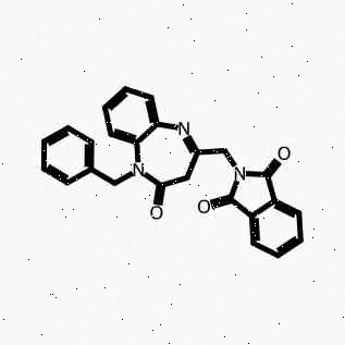 O=C1c2ccccc2C(=O)N1CC1=Nc2ccccc2N(Cc2ccccc2)C(=O)C1